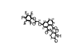 O=C1CCC(N2C(=O)c3cccc4cc(OCC(=O)Oc5c(F)c(F)c(F)c(F)c5F)cc(c34)C2=O)C(=O)N1